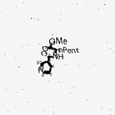 CCCCC[C@H](NC(=O)c1cccnc1)C(=O)OC